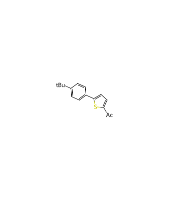 CC(=O)c1ccc(-c2ccc(C(C)(C)C)cc2)s1